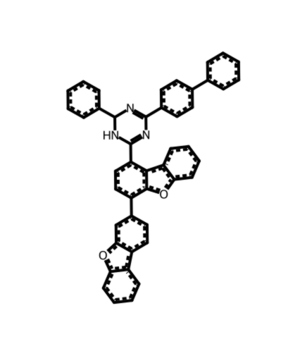 c1ccc(-c2ccc(C3=NC(c4ccccc4)NC(c4ccc(-c5ccc6c(c5)oc5ccccc56)c5oc6ccccc6c45)=N3)cc2)cc1